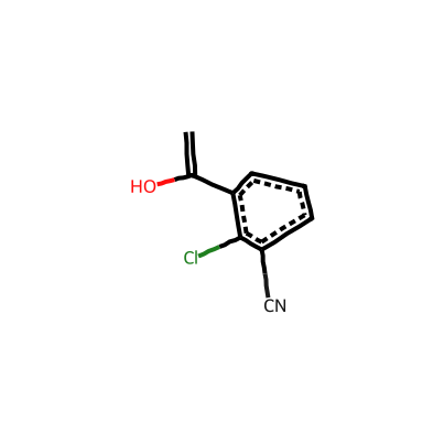 C=C(O)c1cccc(C#N)c1Cl